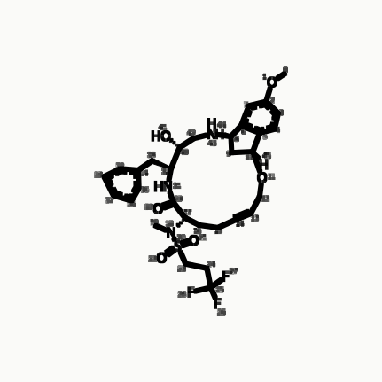 COc1ccc2c(c1)[C@@H]1C[C@H]2OCC=CCC[C@H](N(C)S(=O)(=O)CCC(F)(F)F)C(=O)N[C@@H](Cc2ccccc2)[C@H](O)CN1